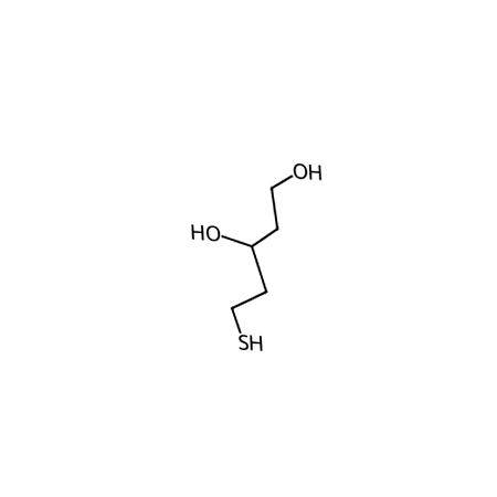 OCCC(O)CCS